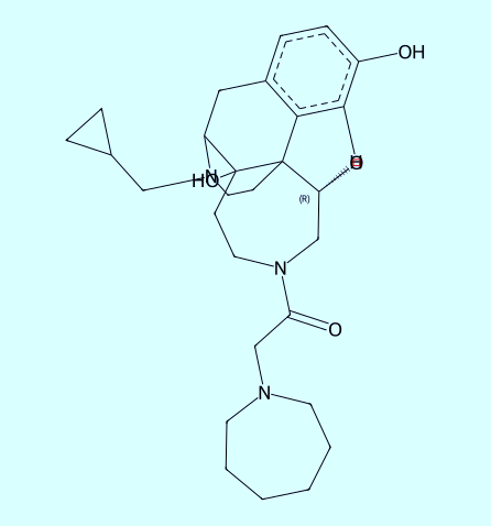 O=C(CN1CCCCCC1)N1CCC2(O)C3Cc4ccc(O)c5c4C2(CCN3CC2CC2)[C@H](C1)O5